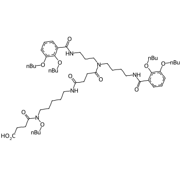 CCCCOc1cccc(C(=O)NCCCCN(CCCNC(=O)c2cccc(OCCCC)c2OCCCC)C(=O)CCC(=O)NCCCCCN(OCCCC)C(=O)CCC(=O)O)c1OCCCC